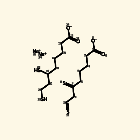 O=C([O-])CCCCC(=S)CC=S.O=C([O-])CCCCC(S)CCS.[Na+].[Na+]